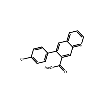 COC(=O)c1cc2ncccc2cc1-c1ccc(Cl)cc1